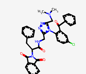 CN(C)Cc1nnc(CNC(=O)C(Cc2ccccc2)N2C(=O)c3ccccc3C2=O)n1-c1ccc(Cl)cc1C(=O)c1ccccc1